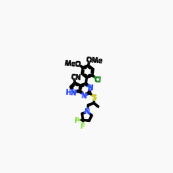 COc1cc(Cl)c(-c2nc(SC(C)CN3CCC(F)(F)C3)nc3[nH]cc(C#N)c23)cc1OC